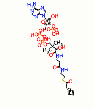 CC(C)(COP(=O)(O)OP(=O)(O)OC[C@H]1O[C@@H](n2cnc3c(N)ncnc32)[C@H](O)[C@@H]1OP(=O)(O)O)[C@@H](O)C(=O)NCCC(=O)NCCSC(=O)C[Si]1=CC=C1